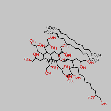 CCCCCCCCC=CCCCCCCCC(=O)O.CCCCCCCCC=CCCCCCCCC(=O)O.O=C(O)C(CC(O)CO)C(CC(O)CO)C(CC(O)CO)C(CC(O)CO)C(CC(O)CO)C(CC(O)CO)C(C=CC(CC(O)CO)C(CCCCCCCC(O)CO)CC(O)CO)CC(O)CO